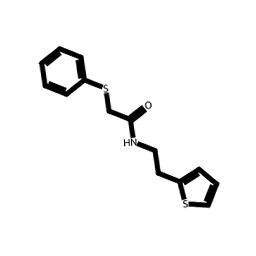 O=C(CSc1cc[c]cc1)NCCc1cccs1